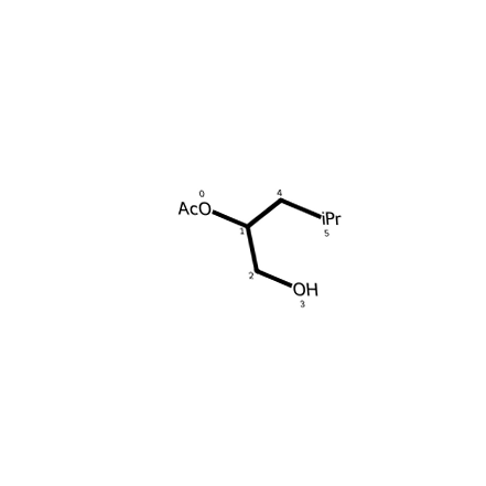 CC(=O)OC(CO)CC(C)C